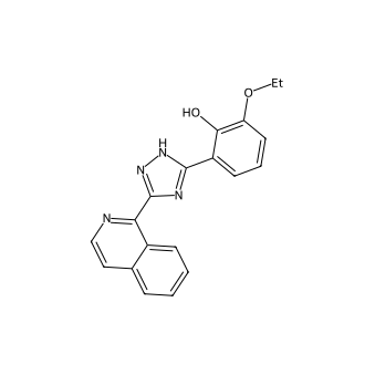 CCOc1cccc(-c2nc(-c3nccc4ccccc34)n[nH]2)c1O